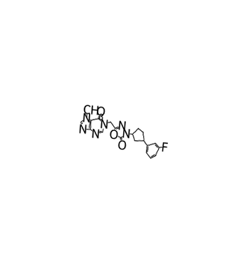 Cn1cnc2ncn(Cc3nn(C4CCC(c5cccc(F)c5)C4)c(=O)o3)c(=O)c21